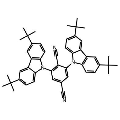 CC(C)(C)c1ccc2c(c1)c1cc(C(C)(C)C)ccc1n2-c1cc(C#N)cc(-n2c3ccc(C(C)(C)C)cc3c3cc(C(C)(C)C)ccc32)c1C#N